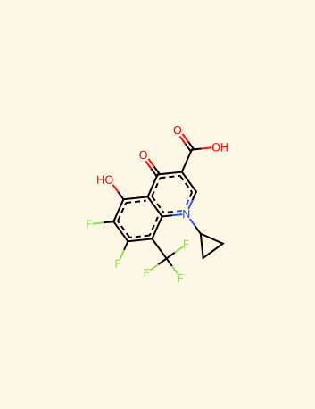 O=C(O)c1cn(C2CC2)c2c(C(F)(F)F)c(F)c(F)c(O)c2c1=O